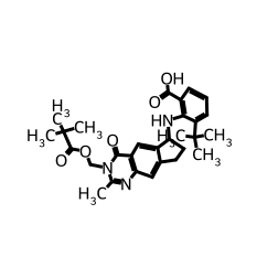 Cc1nc2cc3c(cc2c(=O)n1COC(=O)C(C)(C)C)C(Nc1c(C(=O)O)cccc1C(C)(C)C)CC3